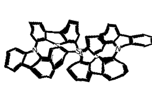 c1ccc([Si](c2ccccc2)(c2cccc3c2sc2c(-n4c5ccccc5c5ccccc54)cccc23)c2cccc3c2sc2c(-n4c5ccccc5c5cccnc54)cccc23)cc1